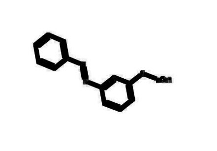 CCCCCCCCSc1cccc(/N=N/c2ccccc2)c1